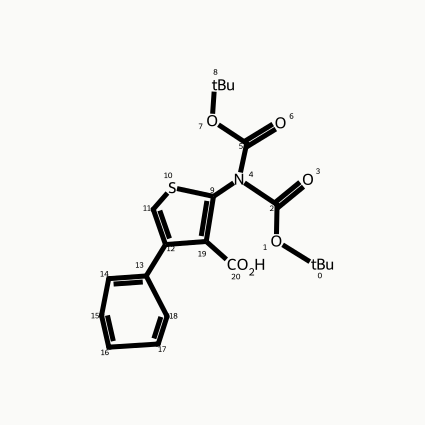 CC(C)(C)OC(=O)N(C(=O)OC(C)(C)C)c1scc(-c2ccccc2)c1C(=O)O